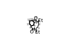 CCN1CCN(CC)C(=O)c2ccc(cc2)C1=O